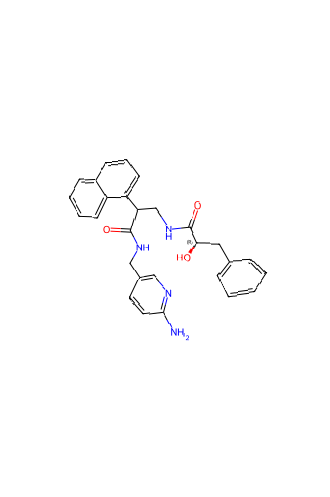 Nc1ccc(CNC(=O)C(CNC(=O)[C@H](O)Cc2ccccc2)c2cccc3ccccc23)cn1